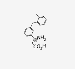 Cc1ccccc1Cc1cccc([C@@H](N)CC(=O)O)c1